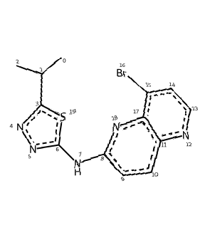 CC(C)c1nnc(Nc2ccc3nccc(Br)c3n2)s1